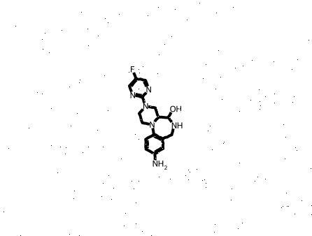 Nc1ccc2c(c1)CNC(O)C1CN(c3ncc(F)cn3)CCN21